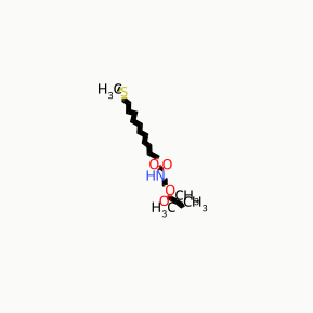 CCC(C)(C)C(=O)OCCNC(=O)OCCCCCCCCCCCCSC